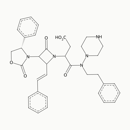 O=C(O)CC(C(=O)N(CCc1ccccc1)N1CCNCC1)N1C(=O)C(N2C(=O)OC[C@@H]2c2ccccc2)C1C=Cc1ccccc1